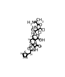 C[C@H](N)C(=O)N[C@@](Cl)(CCl)C(O)OCC1=C(C(=O)O)N2C(=O)[C@@H](NC(=O)Cc3cccs3)[C@@H]2SC1